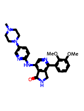 COc1cccc(-c2ncc(Nc3ccc(N4CCN(C)CC4)cn3)c3c2CNC3=O)c1OC